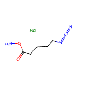 Cl.[N-]=[N+]=NCCCCC(=O)ON